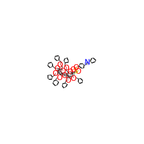 O=S(=O)(C[C@@H]1OC(COCc2ccccc2)[C@@H](O[C@@H]2OC(COCc3ccccc3)[C@@H](OCc3ccccc3)[C@@H](OCc3ccccc3)C2OCc2ccccc2)[C@@H](OCc2ccccc2)C1OCc1ccccc1)Oc1ccc(/C=N/c2ccccc2)cc1